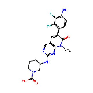 Cn1c(=O)c(-c2ccc(N)c(F)c2F)cc2cnc(NC3CCCN(C(=O)O)C3)nc21